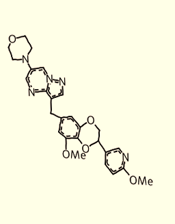 COc1ccc(C2COc3cc(Cc4cnn5cc(N6CCOCC6)cnc45)cc(OC)c3O2)cn1